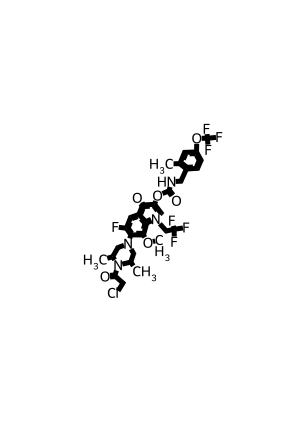 COc1c(N2CC(C)N(C(=O)CCl)C(C)C2)c(F)cc2c(=O)c(OC(=O)NCc3ccc(OC(F)(F)F)cc3C)cn(CC(F)(F)F)c12